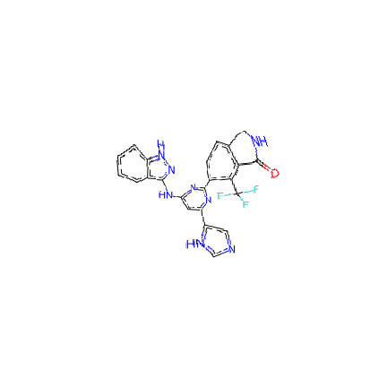 O=C1NCc2ccc(-c3nc(Nc4n[nH]c5ccccc45)cc(-c4cnc[nH]4)n3)c(C(F)(F)F)c21